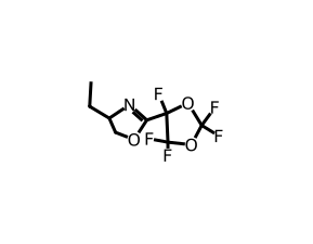 CCC1COC(C2(F)OC(F)(F)OC2(F)F)=N1